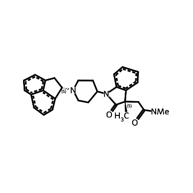 CNC(=O)C[C@]1(C)C(=O)N(C2CCN([C@H]3Cc4cccc5cccc3c45)CC2)c2ccccc21